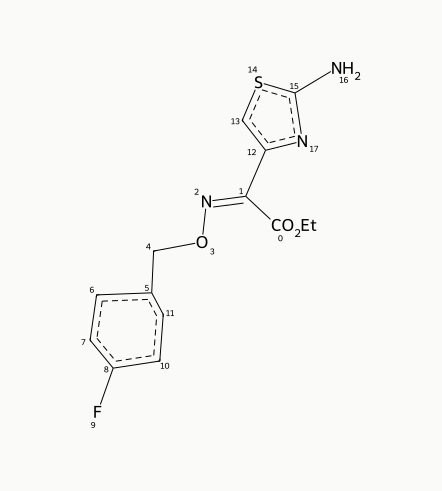 CCOC(=O)/C(=N\OCc1ccc(F)cc1)c1csc(N)n1